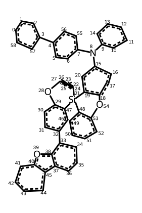 c1ccc(-c2ccc(N(c3ccccc3)c3ccc4c(c3)[Si]3(c5ccccc5Oc5ccc(-c6cccc7c6oc6ccccc67)cc53)c3ccccc3O4)cc2)cc1